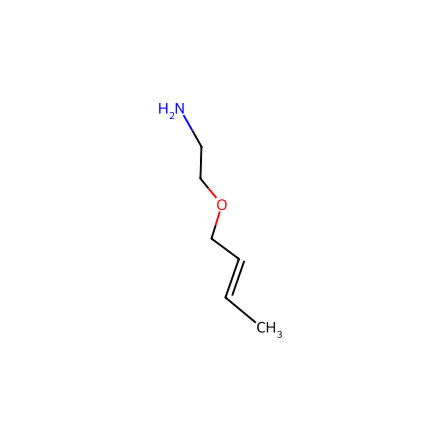 CC=CCOCCN